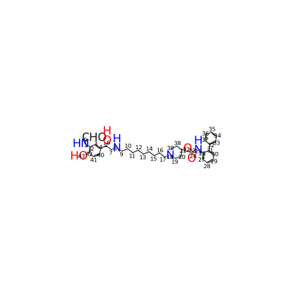 O=CNc1cc([C@H](O)CNCCCCCCCCCN2CCC(OC(=O)Nc3ccccc3-c3ccccc3)CC2)ccc1O